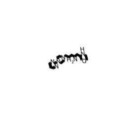 NC(CCCN1CCN(c2ncccn2)CC1)CC1COCCN1